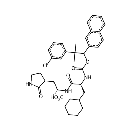 CC(C)(c1cccc(Cl)c1)C(OC(=O)N[C@@H](CC1CCCCC1)C(=O)N[C@@H](C[C@@H]1CCNC1=O)C(=O)O)c1ccc2ccccc2c1